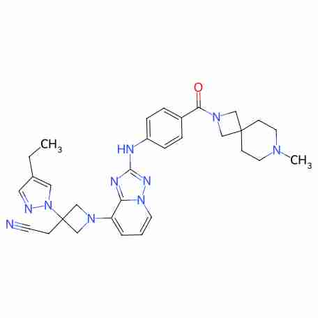 CCc1cnn(C2(CC#N)CN(c3cccn4nc(Nc5ccc(C(=O)N6CC7(CCN(C)CC7)C6)cc5)nc34)C2)c1